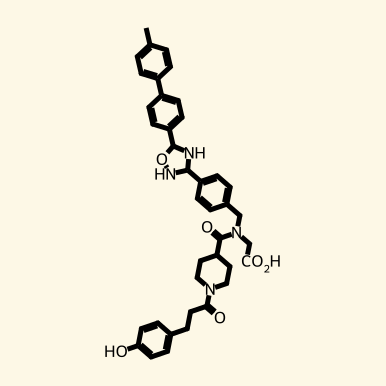 Cc1ccc(-c2ccc(C3NC(c4ccc(CN(CC(=O)O)C(=O)C5CCN(C(=O)CCc6ccc(O)cc6)CC5)cc4)NO3)cc2)cc1